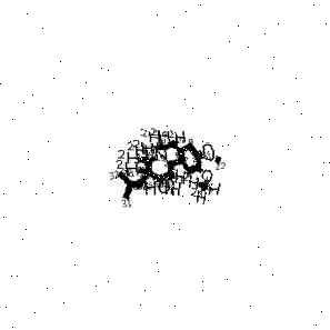 [2H]C([2H])([2H])Oc1cc2c(cc1OC)C([2H])([2H])C([2H])([2H])N1C2C([2H])([2H])C([2H])(O)C([2H])(CC(C)C)C1([2H])[2H]